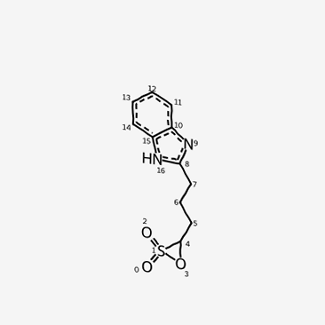 O=S1(=O)OC1CCCc1nc2ccccc2[nH]1